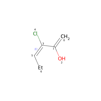 C=C(O)/C(Cl)=C\CC